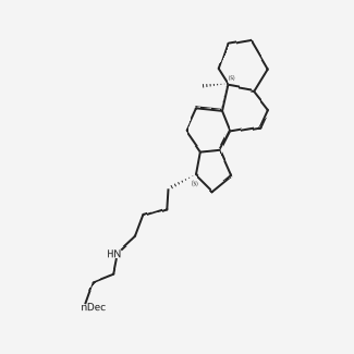 CCCCCCCCCCCCNCCCC[C@H]1CCC2C3CCC4CCCC[C@]4(C)C3CCC21